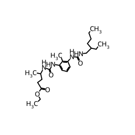 CCCCC(CC)CNC(=O)Nc1cccc(NC(=O)NC(C)CCC(=O)OCC)c1C